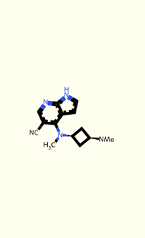 CN[C@H]1C[C@@H](N(C)c2c(C#N)cnc3[nH]ccc23)C1